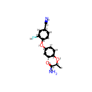 CC(Oc1ccc(Oc2ccc(C#N)cc2F)cc1)C(N)=O